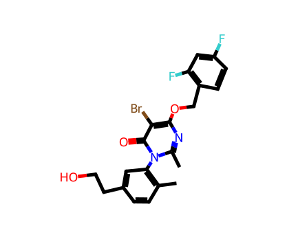 Cc1ccc(CCO)cc1-n1c(C)nc(OCc2ccc(F)cc2F)c(Br)c1=O